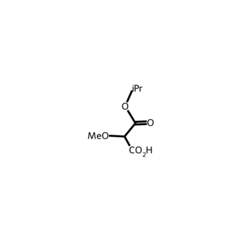 COC(C(=O)O)C(=O)OC(C)C